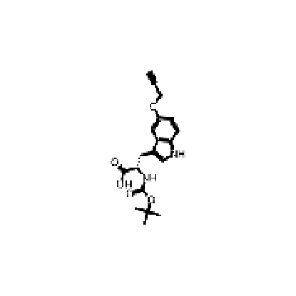 C#CCOc1ccc2[nH]cc(C[C@H](NC(=O)OC(C)(C)C)C(=O)O)c2c1